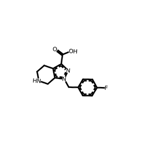 O=C(O)c1nn(Cc2ccc(F)cc2)c2c1CCNC2